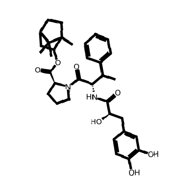 CC(c1ccccc1)[C@H](NC(=O)[C@H](O)Cc1ccc(O)c(O)c1)C(=O)N1CCC[C@H]1C(=O)OC1CC2CCC1(C)C2(C)C